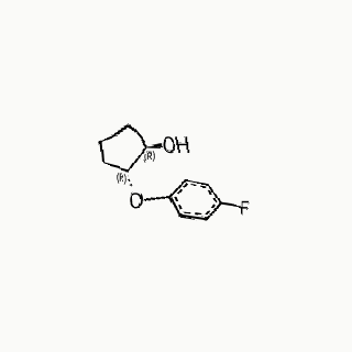 O[C@@H]1CCC[C@H]1Oc1ccc(F)cc1